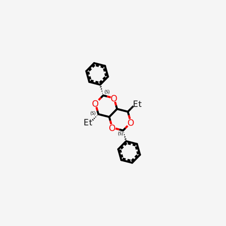 CCC1O[C@H](c2ccccc2)OC2C1O[C@@H](c1ccccc1)O[C@H]2CC